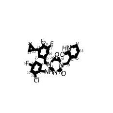 O=C1N=C(Nc2ccc(F)cc2Cl)N(Cc2cc(F)c(F)c(C3CC3)c2)C2OC2N1Cc1ccc[nH]c1=O